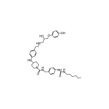 CCCCCCNC(=O)Nc1ccc(CNC(=O)N2CCC(Nc3ccc(CCNCC(O)COc4ccc(O)cc4)cc3)CC2)cc1